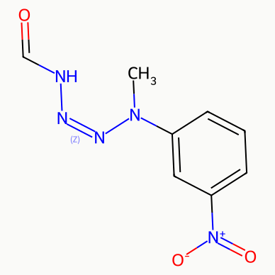 CN(/N=N\NC=O)c1cccc([N+](=O)[O-])c1